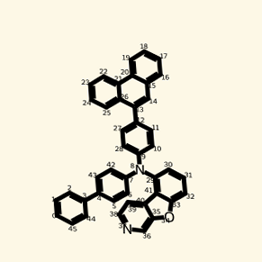 c1ccc(-c2ccc(N(c3ccc(-c4cc5ccccc5c5ccccc45)cc3)c3cccc4oc5cnccc5c34)cc2)cc1